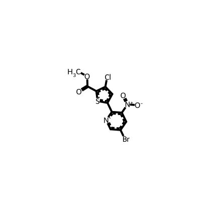 COC(=O)c1sc(-c2ncc(Br)cc2[N+](=O)[O-])cc1Cl